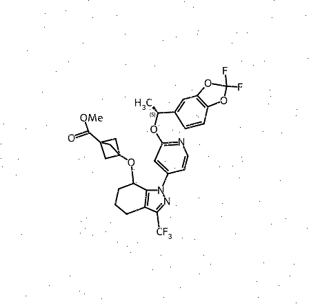 COC(=O)C12CC(OC3CCCc4c(C(F)(F)F)nn(-c5ccnc(O[C@@H](C)c6ccc7c(c6)OC(F)(F)O7)c5)c43)(C1)C2